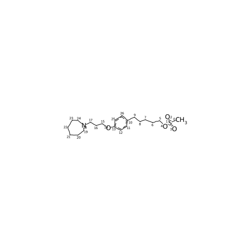 CS(=O)(=O)OCCCCCc1ccc(OCCCN2CCCCCC2)cc1